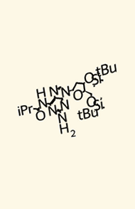 CC(C)C(=O)Nc1nc(N)nc2c1ncn2[C@H]1CC(O[Si](C)(C)C(C)(C)C)[C@@H](CO[Si](C)(C)C(C)(C)C)O1